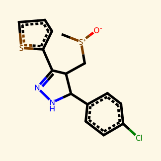 C[S+]([O-])CC1C(c2cccs2)=NNC1c1ccc(Cl)cc1